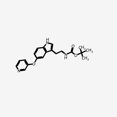 CC(C)(C)OC(=O)NCCc1c[nH]c2ccc(Oc3cccnc3)cc12